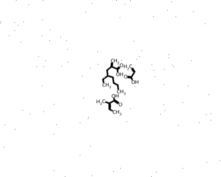 C=C(CC(CC)CCCC)C(=O)O.C=CC(=O)O.CC=C(C)C(=O)O